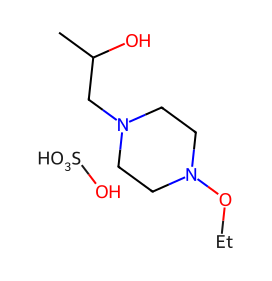 CCON1CCN(CC(C)O)CC1.O=S(=O)(O)O